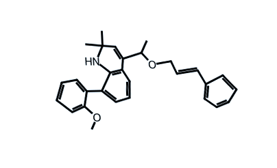 COc1ccccc1-c1cccc2c1NC(C)(C)C=C2C(C)OC/C=C/c1ccccc1